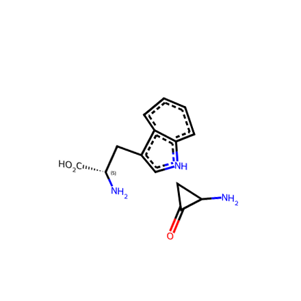 NC1CC1=O.N[C@@H](Cc1c[nH]c2ccccc12)C(=O)O